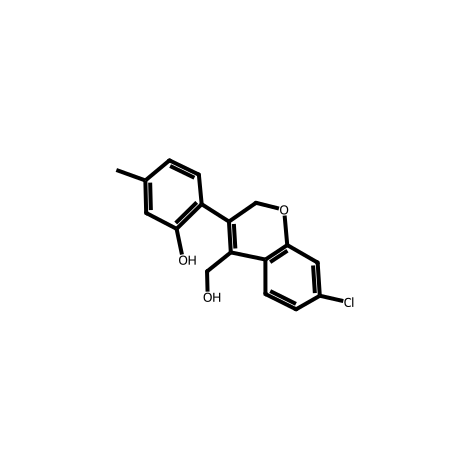 Cc1ccc(C2=C(CO)c3ccc(Cl)cc3OC2)c(O)c1